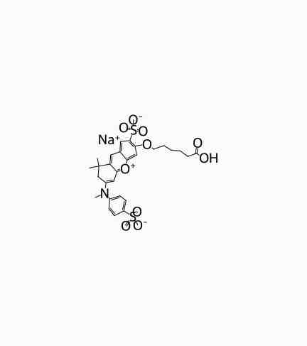 CN(C1=Cc2[o+]c3cc(OCCCCCC(=O)O)c(S(=O)(=O)[O-])cc3cc2C(C)(C)C1)c1ccc(S(=O)(=O)[O-])cc1.[Na+]